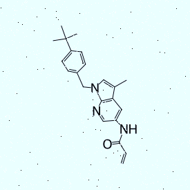 C=CC(=O)Nc1cnc2c(c1)c(C)cn2Cc1ccc(C(C)(C)C)cc1